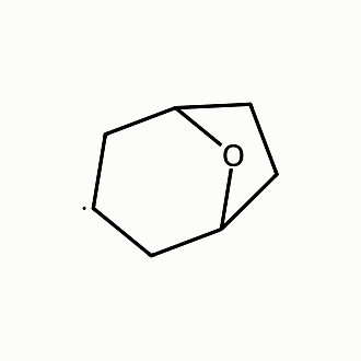 [CH]1CC2CCC(C1)O2